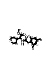 COC(=O)C(NC(=O)Cc1c(C)cc(C)cc1C)C1CCOCC1